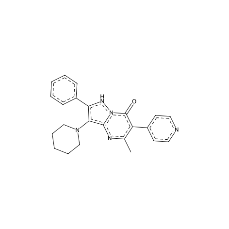 Cc1nc2c(N3CCCCC3)c(-c3ccccc3)[nH]n2c(=O)c1-c1ccncc1